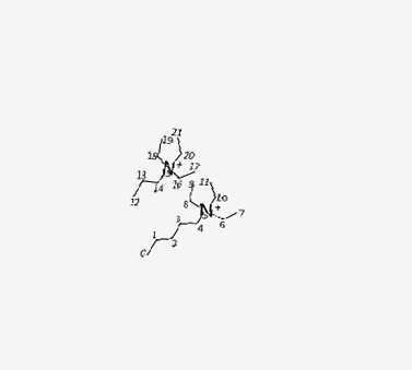 CCCCC[N+](CC)(CC)CC.CCC[N+](CC)(CC)CC